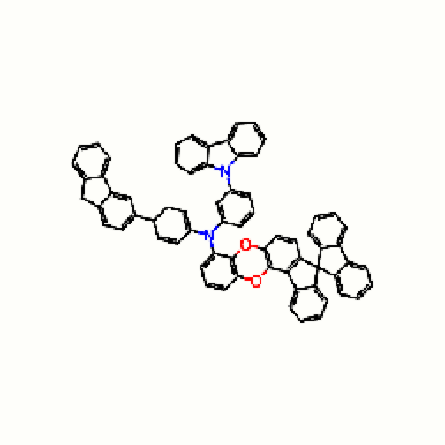 C1=CC(c2ccc3c(c2)-c2ccccc2C3)CC=C1N(c1cccc(-n2c3ccccc3c3ccccc32)c1)c1cccc2c1Oc1ccc3c(c1O2)-c1ccccc1C31c2ccccc2-c2ccccc21